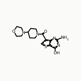 Nc1nc(O)c2scc(C(=O)N3CCC(N4CCOCC4)CC3)c2n1